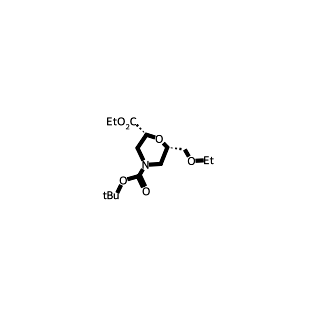 CCOC[C@@H]1CN(C(=O)OC(C)(C)C)C[C@H](C(=O)OCC)O1